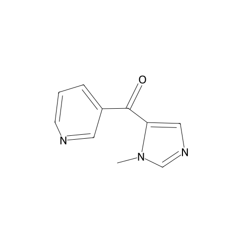 Cn1cncc1C(=O)c1cccnc1